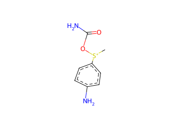 C[S+](OC(N)=O)c1ccc(N)cc1